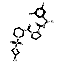 CC[C@H](NC(=O)[C@H]1CCCN1C(=O)[C@H]1CCCN(S(=O)(=O)N2CC(C#N)C2)C1)c1cc(F)cc(F)c1